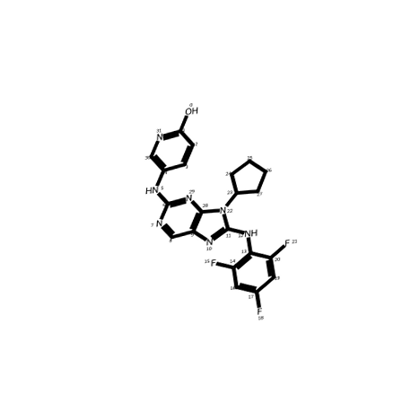 Oc1ccc(Nc2ncc3nc(Nc4c(F)cc(F)cc4F)n(C4CCCC4)c3n2)cn1